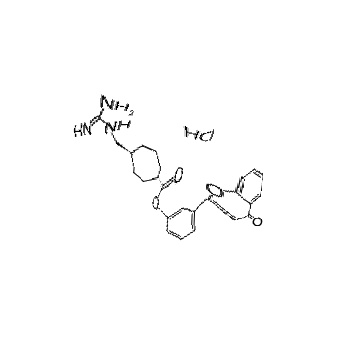 Cl.N=C(N)NC[C@H]1CC[C@H](C(=O)Oc2cccc(-c3cc(=O)c4ccccc4o3)c2)CC1